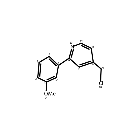 COc1cccc(-c2cc(CCl)ccn2)c1